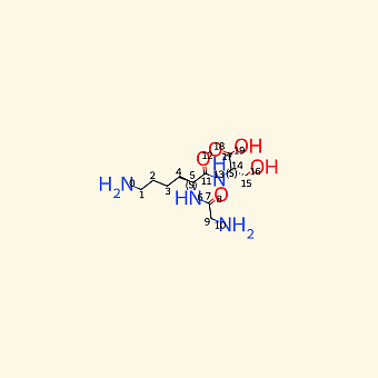 NCCCC[C@H](NC(=O)CN)C(=O)N[C@@H](CO)C(=O)O